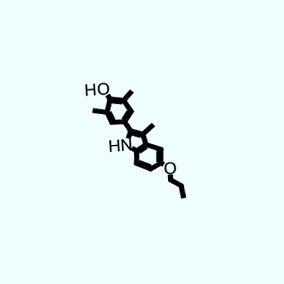 CCCOc1ccc2[nH]c(-c3cc(C)c(O)c(C)c3)c(C)c2c1